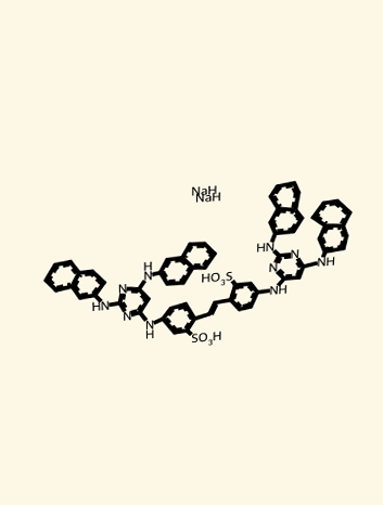 O=S(=O)(O)c1cc(Nc2cc(Nc3ccc4ccccc4c3)nc(Nc3ccc4ccccc4c3)n2)ccc1/C=C/c1ccc(Nc2cc(Nc3ccc4ccccc4c3)nc(Nc3ccc4ccccc4c3)n2)cc1S(=O)(=O)O.[NaH].[NaH]